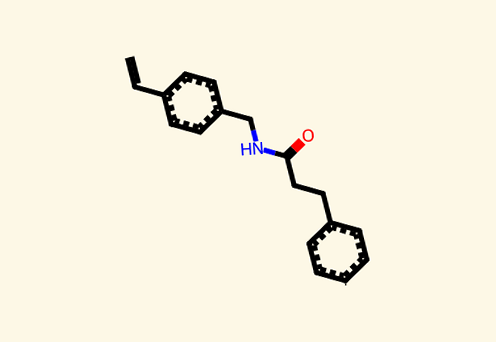 C=Cc1ccc(CNC(=O)CCc2cc[c]cc2)cc1